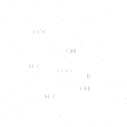 CC(O)C(=O)[O-].CC(O)C(=O)[O-].[B+2]